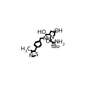 Cc1ncsc1-c1ccc(CNC(O)C2C[C@@H](O)CN2C(=O)[C@@H](N)C(C)(C)C)cc1